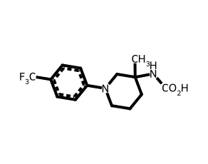 CC1(NC(=O)O)CCCN(c2ccc(C(F)(F)F)cc2)C1